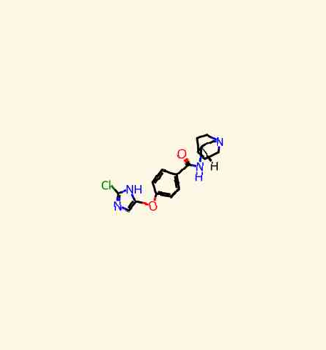 O=C(N[C@H]1CN2CCC1CC2)c1ccc(Oc2cnc(Cl)[nH]2)cc1